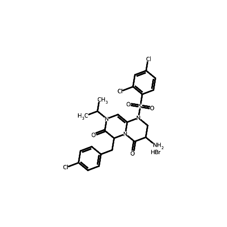 Br.CC(C)N1C=C2N(C(=O)C(N)CN2S(=O)(=O)c2ccc(Cl)cc2Cl)C(Cc2ccc(Cl)cc2)C1=O